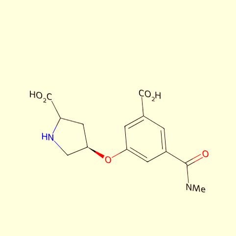 CNC(=O)c1cc(O[C@H]2CNC(C(=O)O)C2)cc(C(=O)O)c1